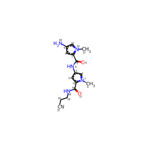 Cn1cc(NC(=O)c2cc(N)cn2C)cc1C(=O)NCCC#N